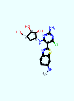 CNc1ccc2nc(-c3c(Cl)nc(N)nc3N[C@@H]3C[C@H](CO)[C@@H](O)[C@H]3O)sc2c1